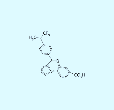 CC(c1ccc(-c2nc3cc(C(=O)O)ccc3n3cccc23)cc1)C(F)(F)F